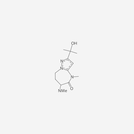 CNC1CCn2nc(C(C)(C)O)cc2N(C)C1=O